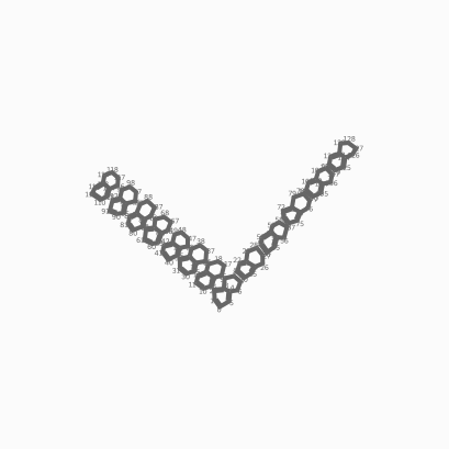 c1ccc2c(c1)CCCC2.c1ccc2c(c1)CCCC2.c1ccc2c(c1)CCCC2.c1ccc2c(c1)CCCC2.c1ccc2c(c1)CCCC2.c1ccc2c(c1)CCCC2.c1ccc2c(c1)CCCC2.c1ccc2c(c1)CCCC2.c1ccc2c(c1)CCCC2.c1ccc2c(c1)CCCC2.c1ccc2c(c1)CCCC2.c1ccc2c(c1)CCCC2.c1ccc2c(c1)CCCC2